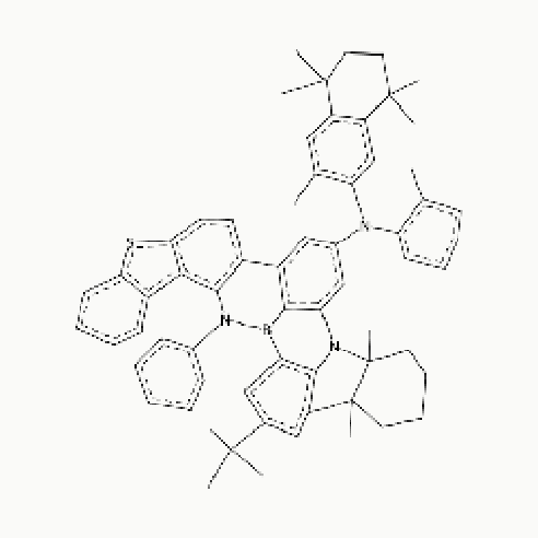 Cc1ccccc1N(c1cc2c3c(c1)N1c4c(cc(C(C)(C)C)cc4C4(C)CCCCC14C)B3N(c1ccccc1)c1c-2ccc2sc3ccccc3c12)c1cc2c(cc1C)C(C)(C)CCC2(C)C